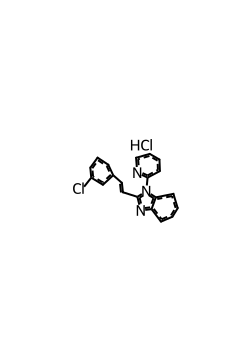 Cl.Clc1cccc(/C=C/c2nc3ccccc3n2-c2ccccn2)c1